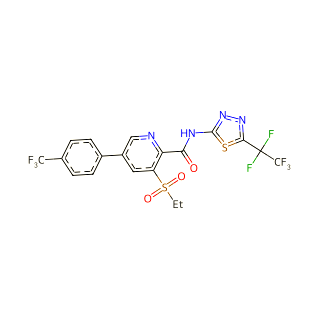 CCS(=O)(=O)c1cc(-c2ccc(C(F)(F)F)cc2)cnc1C(=O)Nc1nnc(C(F)(F)C(F)(F)F)s1